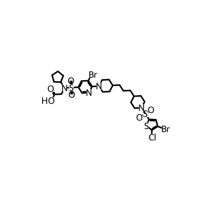 O=C(O)CN(C1CCCC1)S(=O)(=O)c1cnc(N2CCC(CCCC3CCN(S(=O)(=O)c4cc(Br)c(Cl)s4)CC3)CC2)c(Br)c1